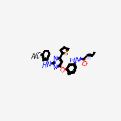 C/C=C/C(=O)Nc1cccc(Oc2cc(-c3cccs3)nc(Nc3cccc(C#N)c3)n2)c1